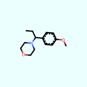 CCC(c1ccc(OC)cc1)N1CCOCC1